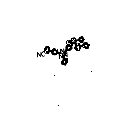 N#Cc1cccc(-c2ccc(-c3nc(-c4ccccc4)nc(-c4ccc5c(c4)oc4ccc(-c6ccccc6)c(-c6cccc(-c7ccccc7)c6)c45)n3)cc2)c1